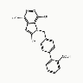 CCCc1nnc(O)c2c1nc(C(C)C)n2Cc1ccc(-c2ccccc2C(=O)O)cc1